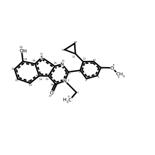 CCn1c(-c2ccc(OC)cc2C2CC2)nc2sc3c(O)cccc3c2c1=O